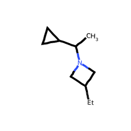 CCC1CN(C(C)C2CC2)C1